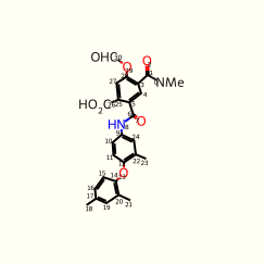 CNC(=O)c1cc(C(=O)Nc2ccc(Oc3ccc(C)cc3C)c(C)c2)c(C(=O)O)cc1OC=O